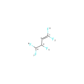 FC(F)=CC(F)C(F)F